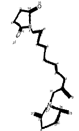 C=C(CCCCCCCN1C(=O)CCC1=O)CN1C(=C)CCC1=C